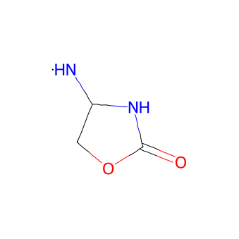 [NH]C1COC(=O)N1